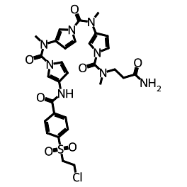 CN(CCC(N)=O)C(=O)n1ccc(N(C)C(=O)n2ccc(N(C)C(=O)n3ccc(NC(=O)c4ccc(S(=O)(=O)CCCl)cc4)c3)c2)c1